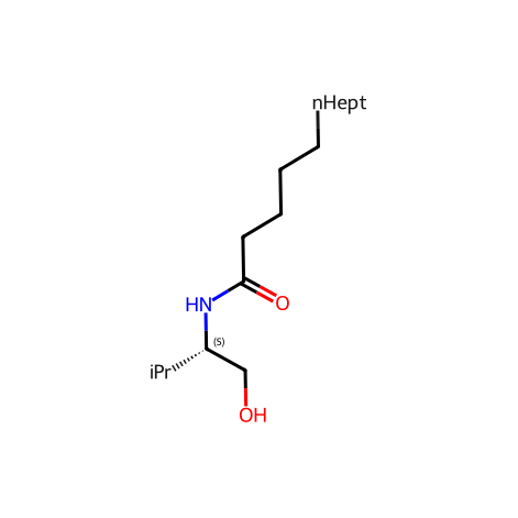 CCCCCCCCCCCC(=O)N[C@H](CO)C(C)C